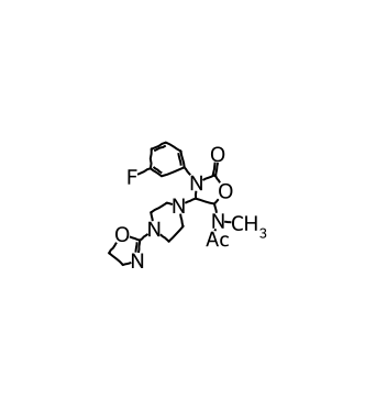 CC(=O)N(C)C1OC(=O)N(c2cccc(F)c2)C1N1CCN(C2=NCCO2)CC1